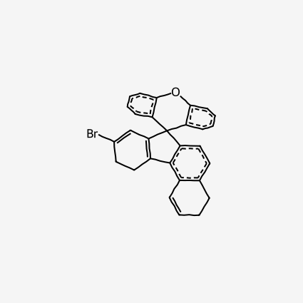 BrC1=CC2=C(CC1)c1c(ccc3c1C=CCC3)C21c2ccccc2Oc2ccccc21